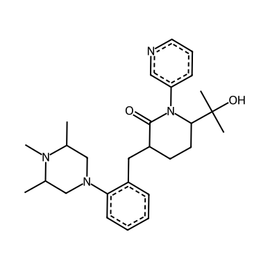 CC1CN(c2ccccc2CC2CCC(C(C)(C)O)N(c3cccnc3)C2=O)CC(C)N1C